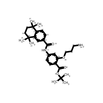 CC(C)(C)OC(=O)c1ccc(NC(=O)c2ccc3c(c2)C(C)(C)CCC3(C)C)cc1OCCCN